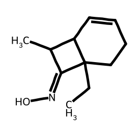 CCC12CCC=CC1C(C)/C2=N\O